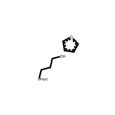 CCCCCCCCO.c1ccoc1